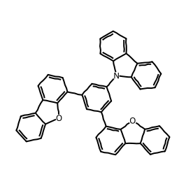 c1ccc2c(c1)oc1c(-c3cc(-c4cccc5c4oc4ccccc45)cc(-n4c5ccccc5c5ccccc54)c3)cccc12